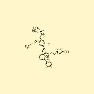 CC(CO)(CO)NCc1cc(Cl)c(OC[C@]2(OCCCN3CCC(O)C3)C=CC=C(c3ccccc3)C2(Cl)Cl)cc1OCCC(F)(F)F